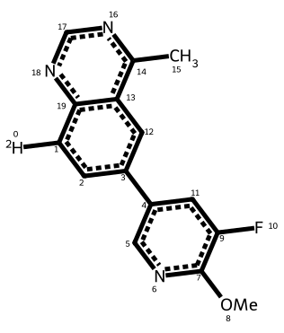 [2H]c1cc(-c2cnc(OC)c(F)c2)cc2c(C)ncnc12